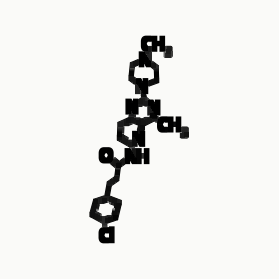 Cc1nc(N2CCN(C)CC2)nc2ccc(NC(=O)CCc3ccc(Cl)cc3)nc12